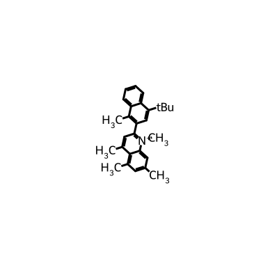 Cc1cc(C)c2c(C)cc(-c3cc(C(C)(C)C)c4ccccc4c3C)[n+](C)c2c1